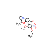 CCCOc1cc(OC)c2c(c1[N+](=O)[O-])C(=O)c1cccc(OC(C)C3CCCN3)c1-2